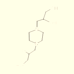 OCC(O)CN1CCN(CC(O)CO)CC1